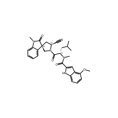 COc1cccc2[nH]c(C(=O)N(C)[C@@H](CC(C)C)C(=O)N3C[C@]4(C[C@H]3C#N)C(=O)N(C)c3ccccc34)cc12